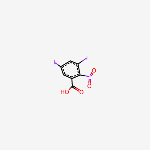 O=C(O)c1cc(I)cc(I)c1I(=O)=O